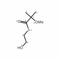 COC(C)(C)C(=O)SCCO